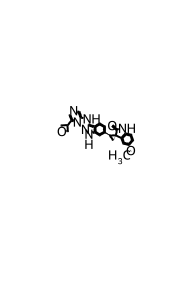 COc1ccc2c(c1)[C@]1(C[C@H]1c1ccc3c(Nc4cncc(C5COC5)n4)n[nH]c3c1)C(=O)N2